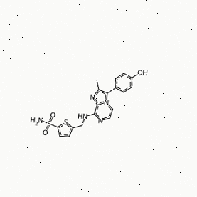 Cc1nc2c(NCc3ccc(S(N)(=O)=O)s3)nccn2c1-c1ccc(O)cc1